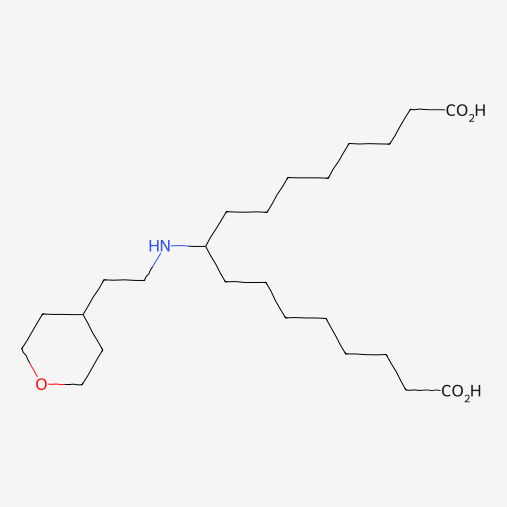 O=C(O)CCCCCCCC(CCCCCCCC(=O)O)NCCC1CCOCC1